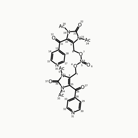 CC(=O)n1c(CO[N+](=O)OCc2c(C(=O)c3ccncc3)n(C(C)=O)c(=O)n2C(C)=O)c(C(=O)c2ccncc2)n(C(C)=O)c1=O